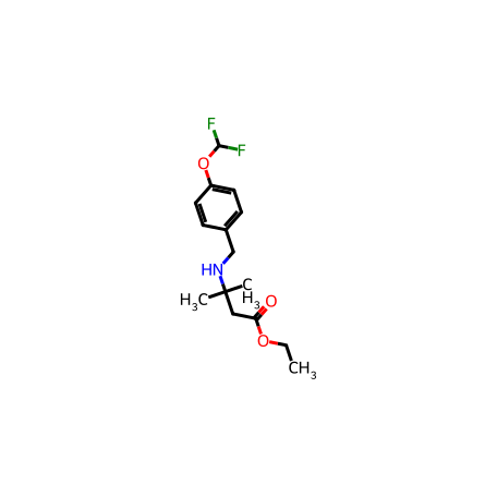 CCOC(=O)CC(C)(C)NCc1ccc(OC(F)F)cc1